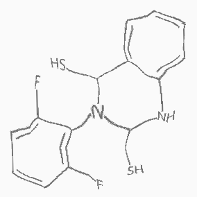 Fc1cccc(F)c1N1C(S)Nc2ccccc2C1S